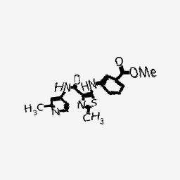 COC(=O)c1cccc(Nc2sc(C)nc2C(=O)Nc2ccnc(C)c2)c1